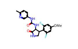 COc1cc(F)c(C2CNC(=O)C2NC(=O)Nc2ccc(C)nc2)c(F)c1